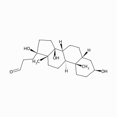 C[C@]12CC[C@H](O)C[C@H]1CC[C@@H]1[C@@H]2CC[C@]2(C)[C@](O)(CCC=O)CC[C@]12O